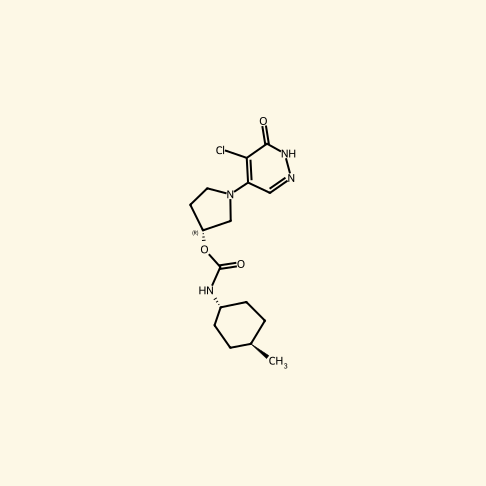 C[C@H]1CC[C@H](NC(=O)O[C@@H]2CCN(c3cn[nH]c(=O)c3Cl)C2)CC1